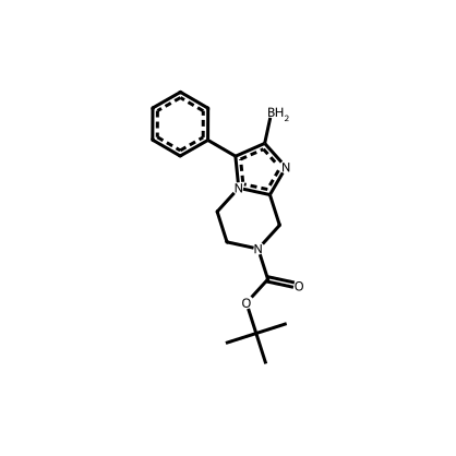 Bc1nc2n(c1-c1ccccc1)CCN(C(=O)OC(C)(C)C)C2